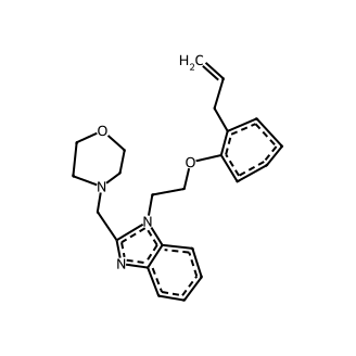 C=CCc1ccccc1OCCn1c(CN2CCOCC2)nc2ccccc21